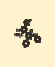 CCc1nc(-c2ccn(C)n2)cc(-c2nc(N3CCOCC3)nc(Nc3ccncc3)c2Cl)c1C(=O)O